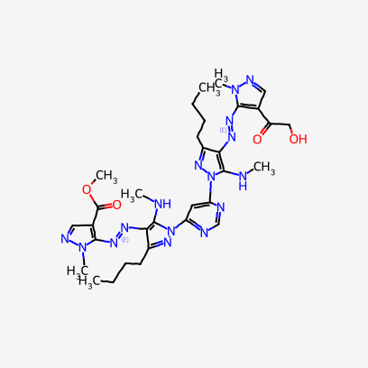 CCCCc1nn(-c2cc(-n3nc(CCCC)c(/N=N/c4c(C(=O)OC)cnn4C)c3NC)ncn2)c(NC)c1/N=N/c1c(C(=O)CO)cnn1C